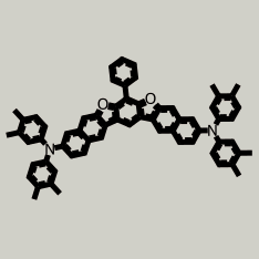 Cc1ccc(N(c2ccc(C)c(C)c2)c2ccc3cc4c(cc3c2)oc2c(-c3ccccc3)c3oc5cc6cc(N(c7ccc(C)c(C)c7)c7ccc(C)c(C)c7)ccc6cc5c3cc24)cc1C